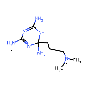 CN(C)CCCC1(N)N=C(N)N=C(N)N1